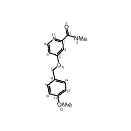 CNC(=O)c1cc(OCc2ccc(OC)cc2)ccn1